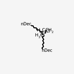 C=C(C)C[N+](C)(CCCCCCCCCCCCCCCCCC)CCCCCCCCCCCCCCCCCC.[Cl-]